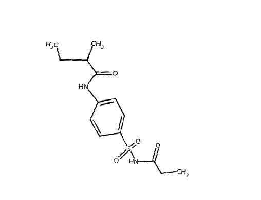 CCC(=O)NS(=O)(=O)c1ccc(NC(=O)C(C)CC)cc1